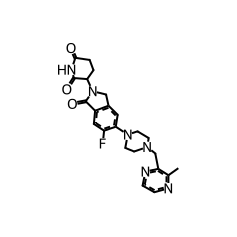 Cc1nccnc1CN1CCN(c2cc3c(cc2F)C(=O)N(C2CCC(=O)NC2=O)C3)CC1